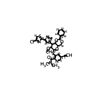 C#Cc1cnc(C(=O)N(C)C)c(SC2OC3COC(c4ccccc4)OC3C(n3cc(-c4nc(Cl)cs4)nn3)C2OC)c1